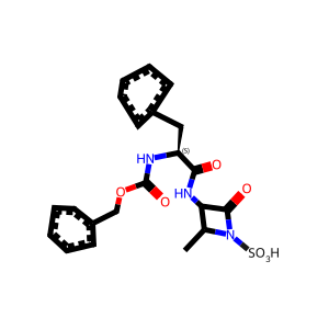 CC1C(NC(=O)[C@H](Cc2ccccc2)NC(=O)OCc2ccccc2)C(=O)N1S(=O)(=O)O